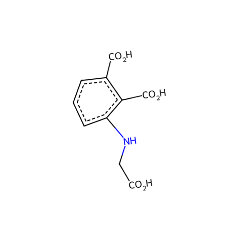 O=C(O)CNc1cccc(C(=O)O)c1C(=O)O